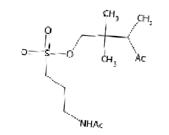 CC(=O)NCCCS(=O)(=O)OCC(C)(C)C(C)C(C)=O